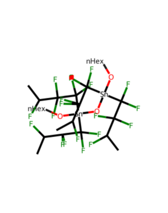 CCCCCC[O][Sn]([O][Sn]([O]CCCCCC)([C](F)(F)C(F)(F)C(C)F)[C](F)(F)C(F)(F)C(C)F)([C](F)(F)C(F)(F)C(C)F)[C](F)(F)C(F)(F)C(C)F